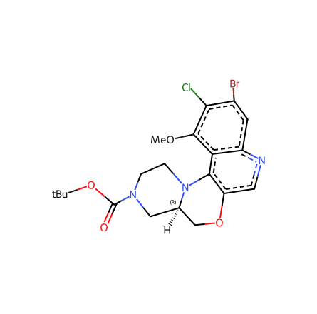 COc1c(Cl)c(Br)cc2ncc3c(c12)N1CCN(C(=O)OC(C)(C)C)C[C@@H]1CO3